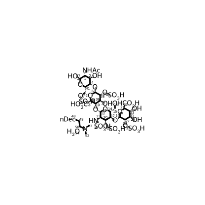 CC(=O)N[C@@H]1[C@@H](O)[C@H](O[C@@H]2O[C@H](C(=O)O)[C@@H](O[C@@H]3O[C@H](CO)[C@@H](O[C@H]4O[C@@H](C(=O)O)[C@H](O)[C@@H](O)[C@@H]4OS(=O)(=O)O)[C@H](OS(=O)(=O)O)[C@H]3NS(=O)(=O)O)[C@H](O)[C@H]2OS(=O)(=O)O)[C@H](COS(=O)(=O)O)O[C@H]1O.CCCCCCCCCCCCN(C)C.O